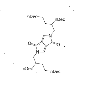 CCCCCCCCCCCCC(CCCCCCCCCC)CN1C=C2C(=O)N(CC(CCCCCCCCCC)CCCCCCCCCCCC)C=C2C1=O